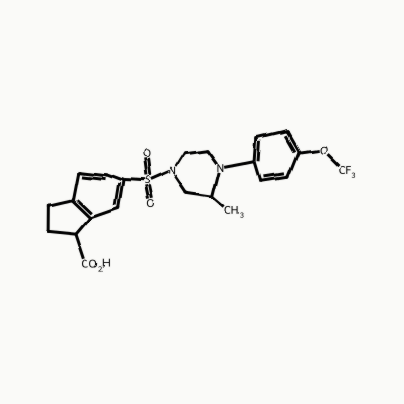 CC1CN(S(=O)(=O)c2ccc3c(c2)C(C(=O)O)CC3)CCN1c1ccc(OC(F)(F)F)cc1